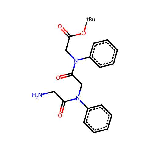 CC(C)(C)OC(=O)CN(C(=O)CN(C(=O)CN)c1ccccc1)c1ccccc1